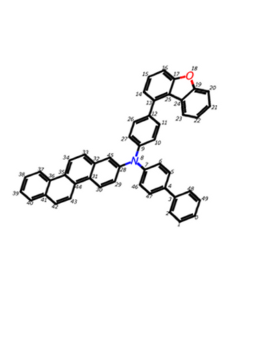 c1ccc(-c2ccc(N(c3ccc(-c4cccc5oc6ccccc6c45)cc3)c3ccc4c(ccc5c6ccccc6ccc45)c3)cc2)cc1